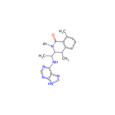 Cc1cccc2c1C(=O)N(C(C)C)C(C(C)Nc1ncnc3[nH]cnc13)C2C